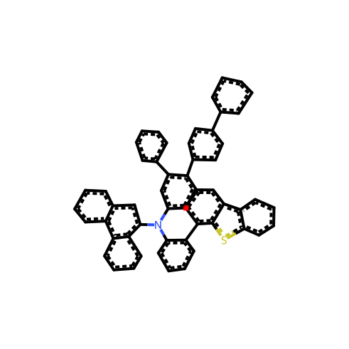 c1ccc(-c2ccc(-c3ccc(N(c4ccccc4-c4cccc5c4sc4ccccc45)c4cc5ccccc5c5ccccc45)cc3-c3ccccc3)cc2)cc1